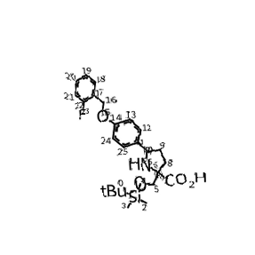 CC(C)(C)[Si](C)(C)OC[C@@]1(C(=O)O)CC[C@H](c2ccc(OCc3ccccc3F)cc2)N1